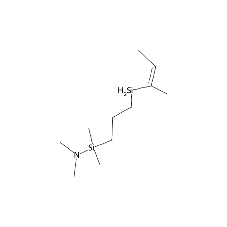 CC=C(C)[SiH2]CCC[Si](C)(C)N(C)C